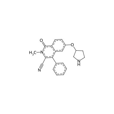 Cn1c(C#N)c(-c2ccccc2)c2cc(OC3CCNC3)ccc2c1=O